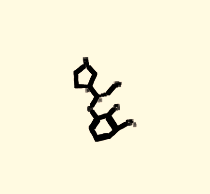 CC(C)C[C@H](Oc1cccc(C(F)(F)F)c1Cl)[C@H]1CCNC1